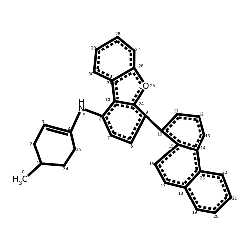 CC1CC=C(Nc2ccc(-c3cccc4c3ccc3ccccc34)c3oc4ccccc4c23)CC1